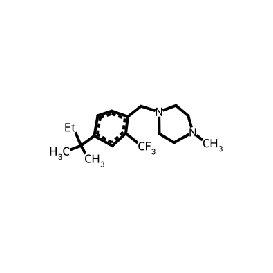 CCC(C)(C)c1ccc(CN2CCN(C)CC2)c(C(F)(F)F)c1